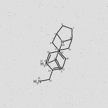 CC(=O)N1CC2CCC(C1)N2c1ccc(CN)cc1